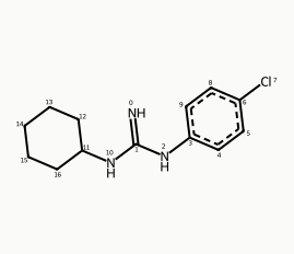 N=C(Nc1ccc(Cl)cc1)NC1CCCCC1